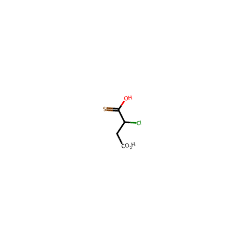 O=C(O)CC(Cl)C(O)=S